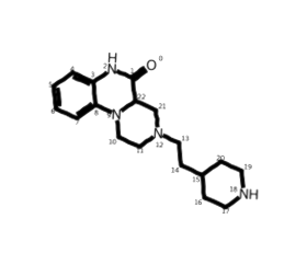 O=C1Nc2ccccc2N2CCN(CCC3CCNCC3)CC12